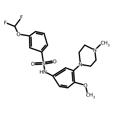 COc1ccc(NS(=O)(=O)c2cccc(OC(F)F)c2)cc1N1CCN(C)CC1